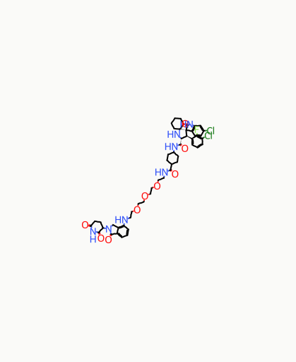 O=C1CCC(N2Cc3c(NCCOCCOCCOCCNC(=O)C4CCC(NC(=O)[C@@H]5NC6(CCCCC6)[C@@]6(C(=O)Nc7cc(Cl)ccc76)[C@H]5c5cccc(Cl)c5F)CC4)cccc3C2=O)C(=O)N1